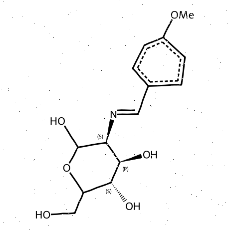 COc1ccc(C=N[C@@H]2C(O)OC(CO)[C@@H](O)[C@@H]2O)cc1